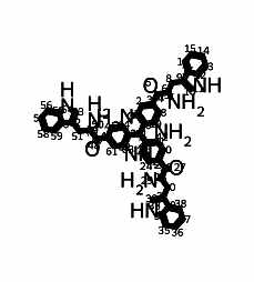 Nc1cc(C(=O)[C@@H](N)Cc2c[nH]c3ccccc23)ccc1C(c1ccc(C(=O)[C@@H](N)Cc2c[nH]c3ccccc23)cc1N)c1ccc(C(=O)[C@@H](N)Cc2c[nH]c3ccccc23)cc1N